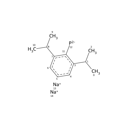 CC(C)c1cccc(C(C)C)c1[P-2].[Na+].[Na+]